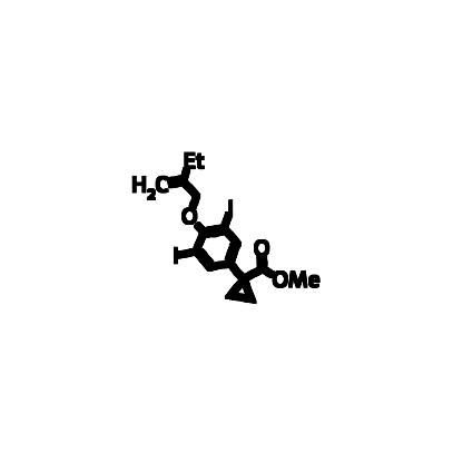 C=C(CC)COc1c(I)cc(C2(C(=O)OC)CC2)cc1I